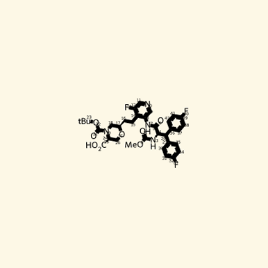 COC(=O)N[C@@H](C(=O)Nc1cncc(F)c1CC[C@@H]1CN(C(=O)OC(C)(C)C)[C@H](C(=O)O)CO1)C(c1ccc(F)cc1)c1ccc(F)cc1